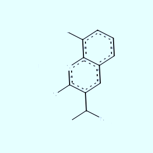 CC(N)c1cc2cccc(Cl)c2nc1N.Cl